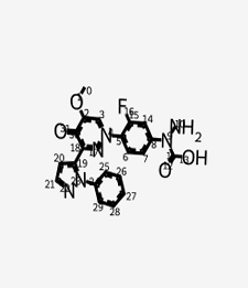 COc1cn(-c2ccc(N(N)C(=O)O)cc2F)nc(-c2ccnn2-c2ccccc2)c1=O